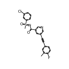 Cc1cc(C#Cc2cncc(C(=O)N=S(C)(=O)c3cccc(Cl)c3)c2)ccc1F